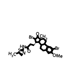 COc1cc2c(cc1Br)C1CC[C@]3(C)C(=O)C(Br)[C@@H](CCC(=O)Nc4ncc(C)s4)C3C1CC2